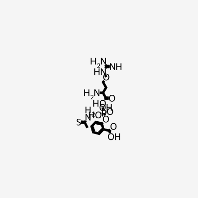 CC(N)=S.N=C(N)NOCCC(N)C(=O)O.O=C(O)c1ccccc1OP(=O)(O)O